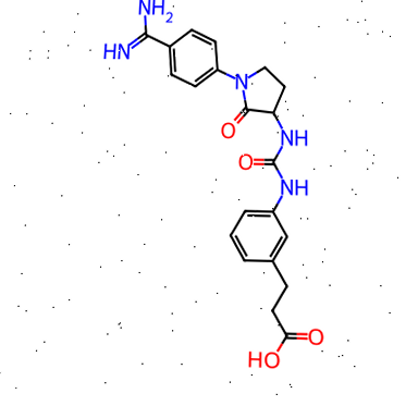 N=C(N)c1ccc(N2CCC(NC(=O)Nc3cccc(CCC(=O)O)c3)C2=O)cc1